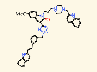 COc1ccc2c(c1)cc(-c1nnn(Cc3cccc(C=Cc4ccc5ccccc5n4)c3)n1)c(=O)n2CCCN1CCN(Cc2ccc3ccccc3n2)CC1